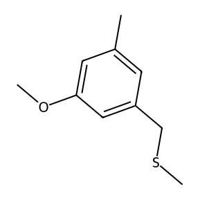 COc1cc(C)cc(CSC)c1